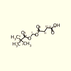 CC(C)(C)C(=O)OCOC(=O)CCC(=O)O